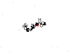 CC(C)(C)OC(=O)NC12CC(n3cc(CN4CC[C@H](OC(F)(F)F)C4)cn3)(C1)C2